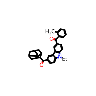 CCn1c2ccc(C(=O)c3ccccc3C)cc2c2cc(C(=O)C3C4CC5CC(C4)CC3C5)ccc21